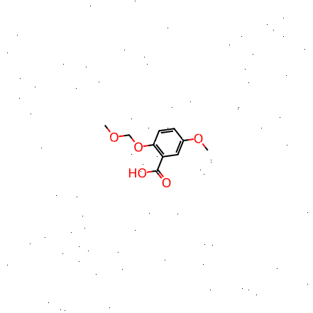 COCOc1ccc(OC)cc1C(=O)O